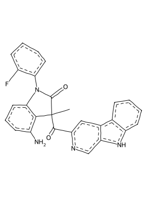 CC1(C(=O)c2cc3c(cn2)[nH]c2ccccc23)C(=O)N(c2ccccc2F)c2cccc(N)c21